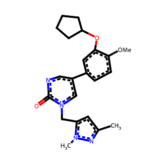 COc1ccc(-c2cnc(=O)n(Cc3cc(C)nn3C)c2)cc1OC1CCCC1